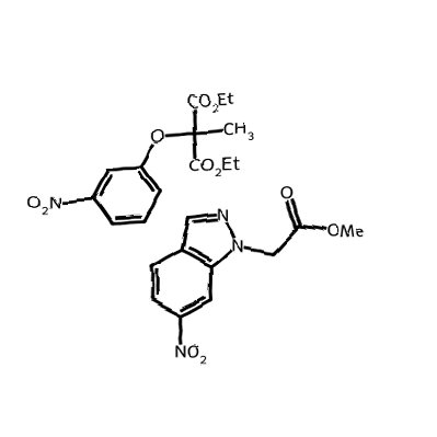 CCOC(=O)C(C)(Oc1cccc([N+](=O)[O-])c1)C(=O)OCC.COC(=O)Cn1ncc2ccc([N+](=O)[O-])cc21